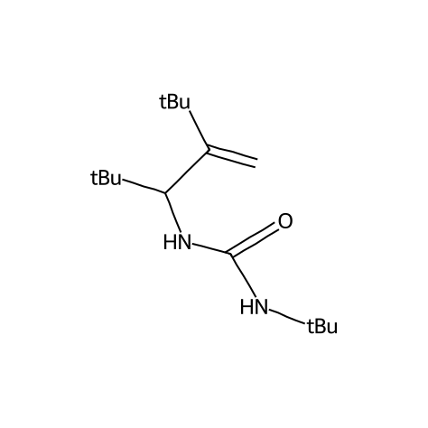 C=C(C(NC(=O)NC(C)(C)C)C(C)(C)C)C(C)(C)C